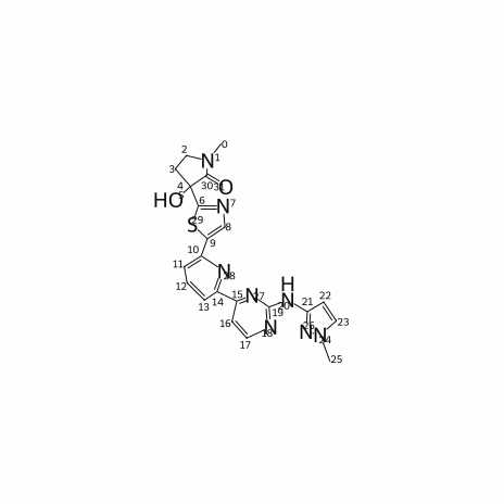 CN1CCC(O)(c2ncc(-c3cccc(-c4ccnc(Nc5ccn(C)n5)n4)n3)s2)C1=O